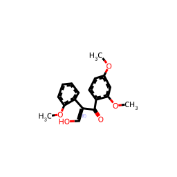 COc1ccc(C(=O)/C(=C/O)c2ccccc2OC)c(OC)c1